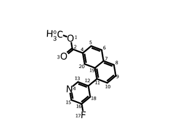 COC(=O)c1ccc2cccc(-c3cncc(F)c3)c2c1